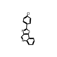 Clc1ccc(-c2nc3cnc4ccccc4c3s2)cc1